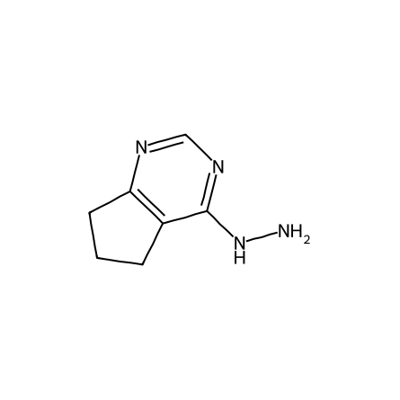 NNc1ncnc2c1CCC2